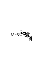 CSCCOC(=O)c1ccc(Nc2cccc(Cn3ccnc3)c2)c(N)c1